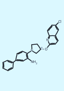 Nc1cc(-c2ccccc2)ccc1N1CC[C@H](Oc2ccc3cc(Cl)ccc3n2)C1